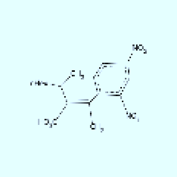 CCCCCCC(C)C(C(=O)O)=C(C)c1ccc([N+](=O)[O-])cc1[N+](=O)[O-]